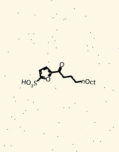 CCCCCCCCCCCC(=O)c1ccc(S(=O)(=O)O)o1